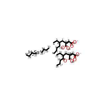 CCCCC(CC)C/C(=C/C(=O)[O-])C(=O)[O-].CCCCC(CC)C/C(=C/C(=O)[O-])C(=O)[O-].CCC[CH2][SnH2+4][CH2]CCC